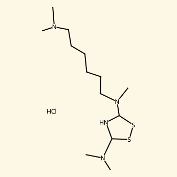 CN(C)CCCCCCN(C)C1NC(N(C)C)SS1.Cl